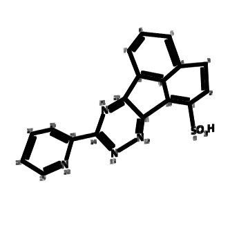 O=S(=O)(O)c1ccc2cccc3c2c1-c1nnc(-c2ccccn2)nc1-3